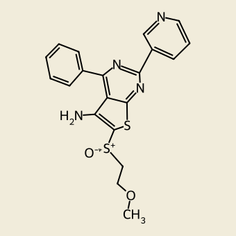 COCC[S@+]([O-])c1sc2nc(-c3cccnc3)nc(-c3ccccc3)c2c1N